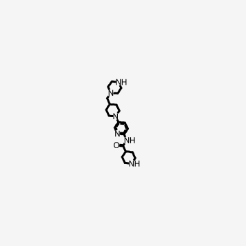 O=C(Nc1ccc(N2CCC(CN3CCNCC3)CC2)cn1)C1CCNCC1